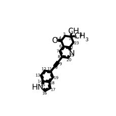 CC1(C)CC(=O)c2cc(C#Cc3ccc4[nH]ccc4c3)cnc2C1